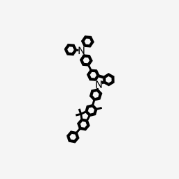 Cc1cc2c(cc1-c1ccc(-n3c4ccccc4c4cc(-c5ccc(N(c6ccccc6)c6ccccc6)cc5)ccc43)cc1)C(C)(C)c1cc(-c3ccccc3)ccc1-2